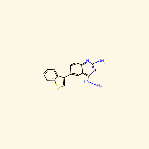 NNc1nc(N)nc2ccc(-c3csc4ccccc34)cc12